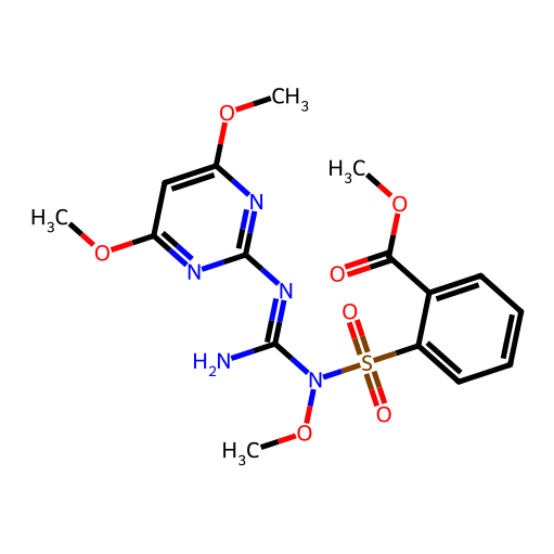 COC(=O)c1ccccc1S(=O)(=O)N(OC)C(N)=Nc1nc(OC)cc(OC)n1